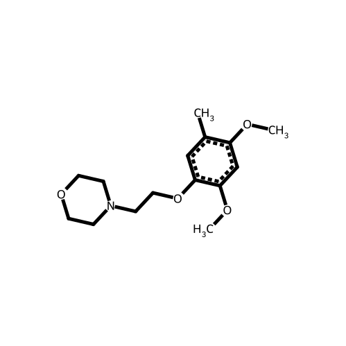 COc1cc(OC)c(OCCN2CCOCC2)cc1C